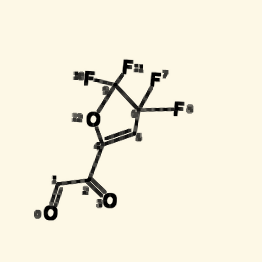 O=CC(=O)C1=CC(F)(F)C(F)(F)O1